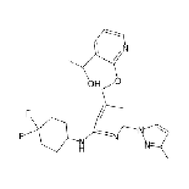 Cc1ccn(-c2cc(COc3ncccc3C(C)O)cc(NC3CCC(F)(F)CC3)n2)n1